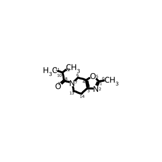 Cc1nc2c(o1)CN(C(=O)C(C)C)CC2